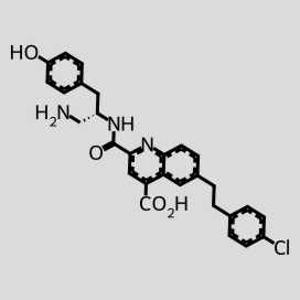 NC[C@H](Cc1ccc(O)cc1)NC(=O)c1cc(C(=O)O)c2cc(CCc3ccc(Cl)cc3)ccc2n1